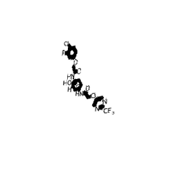 O=C(COc1cnc(C(F)(F)F)nc1)NC12CCC(NC(=O)COc3ccc(Cl)c(F)c3)(CC1)[C@@H](O)C2